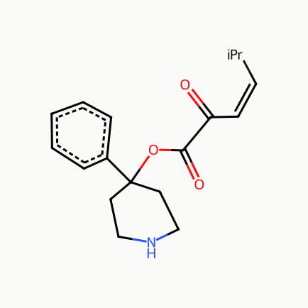 CC(C)/C=C\C(=O)C(=O)OC1(c2ccccc2)CCNCC1